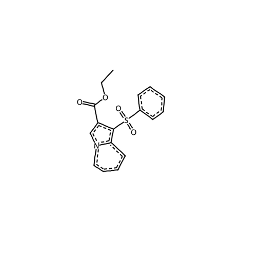 CCOC(=O)c1cn2ccccc2c1S(=O)(=O)c1ccccc1